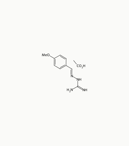 CC(=O)O.COc1ccc(C=NNC(=N)N)cc1